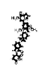 COc1cc(-c2cn(C)c(=O)c3cncn23)cc(OC)c1CN1CCC2(CC1)CN(c1ccc3c(c1)C(=O)N(C1CCC(=O)NC1=O)C3)C2